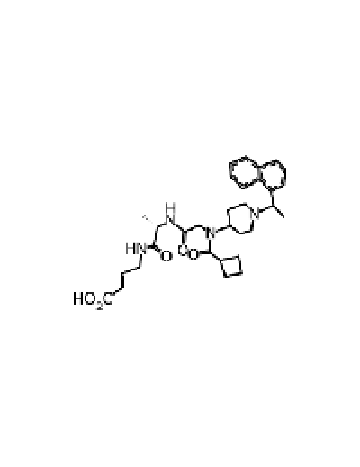 CC(c1cccc2ccccc12)N1CCC(N(CC(=O)N[C@@H](C)C(=O)NC/C=C/C(=O)O)C(=O)C2CCC2)CC1